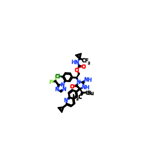 C=C(C(C)(C)C)[C@]1(c2ccc3nc(C4CC4)ccc3c2)NC(=N)N([C@H](COC(=O)NC2(C(F)(F)F)CC2)c2ccc(Cl)c(-n3ncnc3C(F)F)c2)C1=O